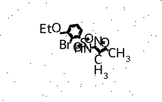 CCOCc1cccc(S(=O)(=O)Nc2noc(C)c2C)c1Br